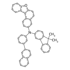 CC1(C)c2ccccc2-c2cc(N(c3cccc(-c4ccc5ccccc5c4)c3)c3ccc4c(ccc5oc6ccccc6c54)c3)ccc21